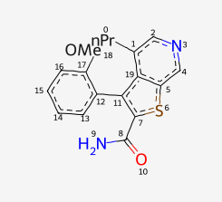 CCCc1cncc2sc(C(N)=O)c(-c3ccccc3OC)c12